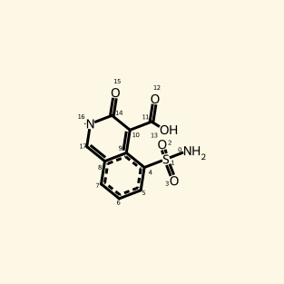 NS(=O)(=O)c1cccc2c1=C(C(=O)O)C(=O)[N]C=2